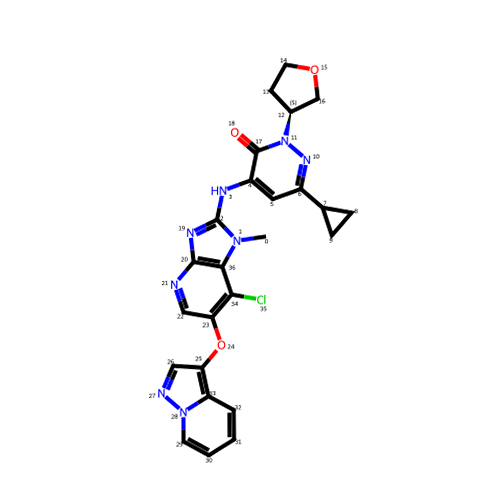 Cn1c(Nc2cc(C3CC3)nn([C@H]3CCOC3)c2=O)nc2ncc(Oc3cnn4ccccc34)c(Cl)c21